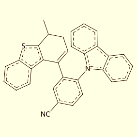 CC1CC=C(c2cc(C#N)ccc2-n2c3ccccc3c3ccccc32)c2c1sc1ccccc21